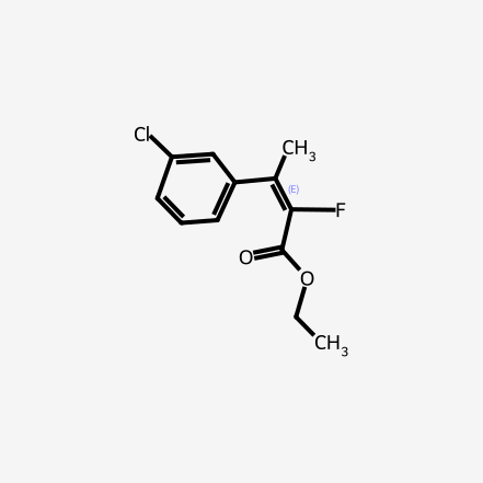 CCOC(=O)/C(F)=C(/C)c1cccc(Cl)c1